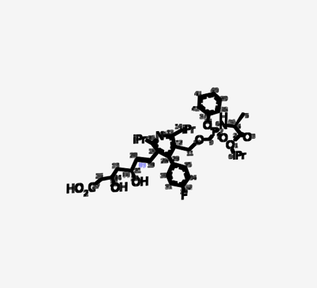 CC(C)OC(=O)[C@H](C)NP(=O)(COCc1c(C(C)C)nc(C(C)C)c(/C=C/[C@@H](O)C[C@@H](O)CC(=O)O)c1-c1ccc(F)cc1)Oc1ccccc1